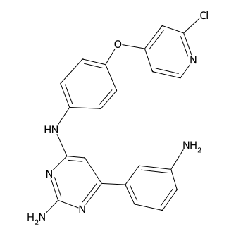 Nc1cccc(-c2cc(Nc3ccc(Oc4ccnc(Cl)c4)cc3)nc(N)n2)c1